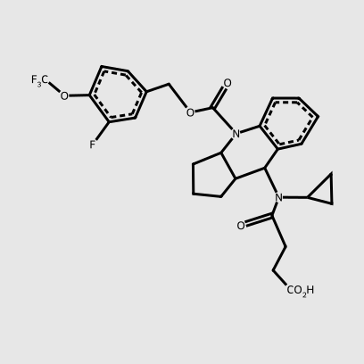 O=C(O)CCC(=O)N(C1CC1)C1c2ccccc2N(C(=O)OCc2ccc(OC(F)(F)F)c(F)c2)C2CCCC21